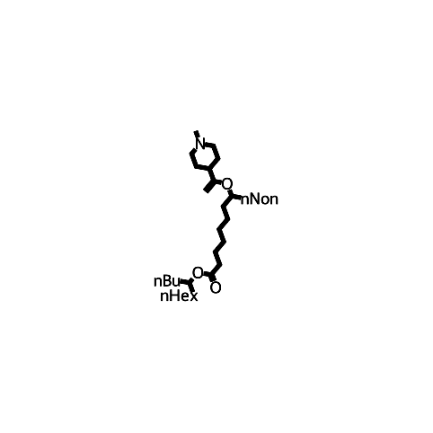 C=C(OC(CCCCCCCCC)CCCCCCC(=O)OC(CCCC)CCCCCC)C1CCN(C)CC1